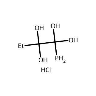 CCC(O)(O)C(O)(O)P.Cl